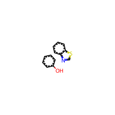 Oc1ccccc1.c1ccc2scnc2c1